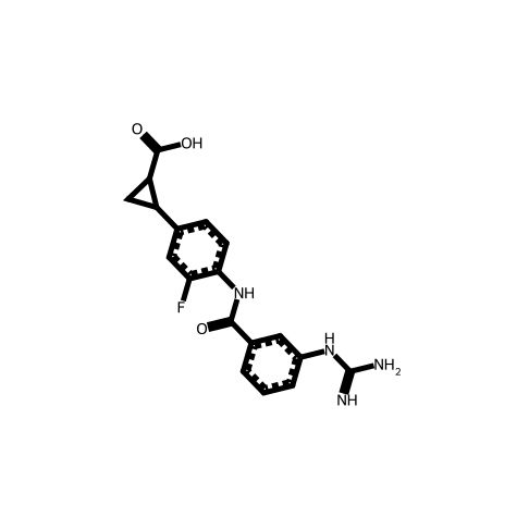 N=C(N)Nc1cccc(C(=O)Nc2ccc(C3CC3C(=O)O)cc2F)c1